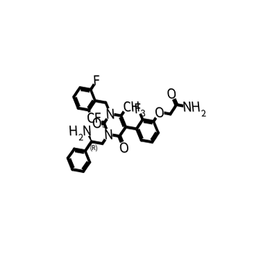 Cc1c(-c2cccc(OCC(N)=O)c2F)c(=O)n(C[C@H](N)c2ccccc2)c(=O)n1Cc1c(F)cccc1C(F)(F)F